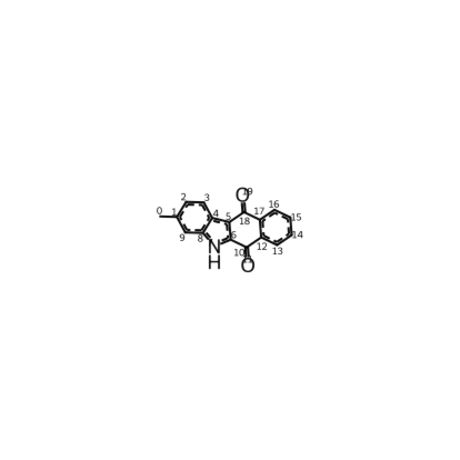 Cc1ccc2c3c([nH]c2c1)C(=O)c1ccccc1C3=O